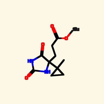 CC(C)(C)OC(=O)CCC1(C2(C)CC2)NC(=O)NC1=O